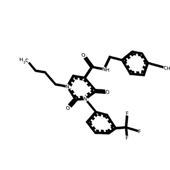 CCCCn1cc(C(=O)NCc2ccc(C)cc2)c(=O)n(-c2cccc(C(F)(F)F)c2)c1=O